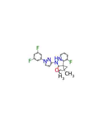 CC1(C)CC1(C(=O)Nc1ccn(-c2cc(F)cc(F)c2)n1)c1ncccc1F